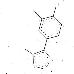 O=C(O)c1[nH]nnc1-c1ccc(Cl)c(Cl)c1